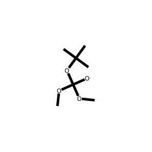 COC([O])(OC)OC(C)(C)C